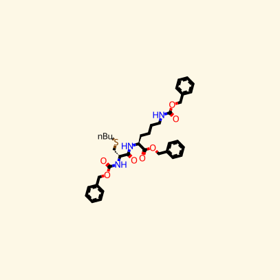 CCCCSC[C@@H](NC(=O)OCc1ccccc1)C(=O)N[C@@H](CCCCNC(=O)OCc1ccccc1)C(=O)OCc1ccccc1